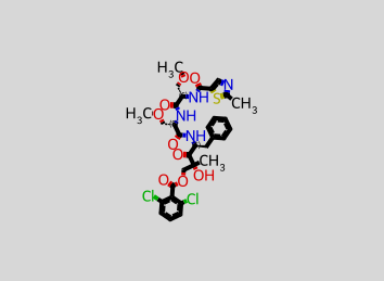 COC[C@H](NC(=O)c1cnc(C)s1)C(=O)N[C@@H](COC)C(=O)N[C@@H](Cc1ccccc1)C(=O)C(C)(O)COC(=O)c1c(Cl)cccc1Cl